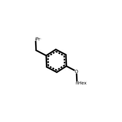 CCCCCCOc1ccc(C[C](C)C)cc1